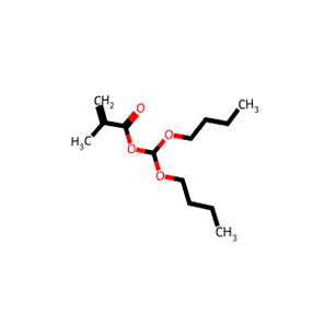 C=C(C)C(=O)OC(OCCCC)OCCCC